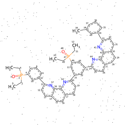 CCP(=O)(CC)c1cccc(-c2ccc3ccc4ccc(-c5cc(-c6ccc7ccc8ccc(-c9cccc(C)c9)nc8c7n6)cc(P(=O)(CC)CC)c5)nc4c3n2)c1